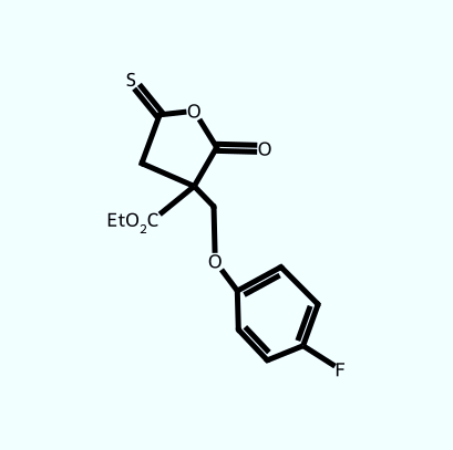 CCOC(=O)C1(COc2ccc(F)cc2)CC(=S)OC1=O